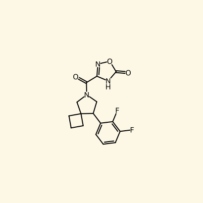 O=C(c1noc(=O)[nH]1)N1CC(c2cccc(F)c2F)C2(CCC2)C1